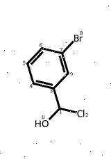 OC(Cl)c1cccc(Br)c1